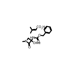 CC(C)=CC(=O)O.COC1(NC(=O)OCc2ccccc2)CN(C)C1=O